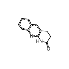 O=C1CCc2cc3ccccc3nc2N1